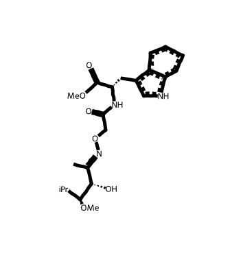 COC(=O)[C@H](Cc1c[nH]c2ccccc12)NC(=O)CO/N=C(\C)[C@H](O)[C@@H](OC)C(C)C